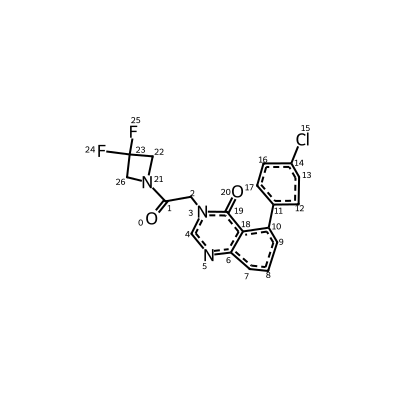 O=C(Cn1cnc2cccc(-c3ccc(Cl)cc3)c2c1=O)N1CC(F)(F)C1